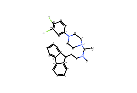 CC(=O)C(N(C)CCC1c2ccccc2-c2ccccc21)N1CCN(c2ccc(F)c(F)c2)CC1